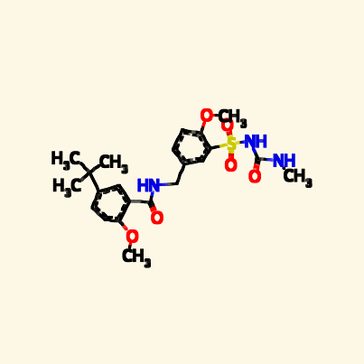 CNC(=O)NS(=O)(=O)c1cc(CNC(=O)c2cc(C(C)(C)C)ccc2OC)ccc1OC